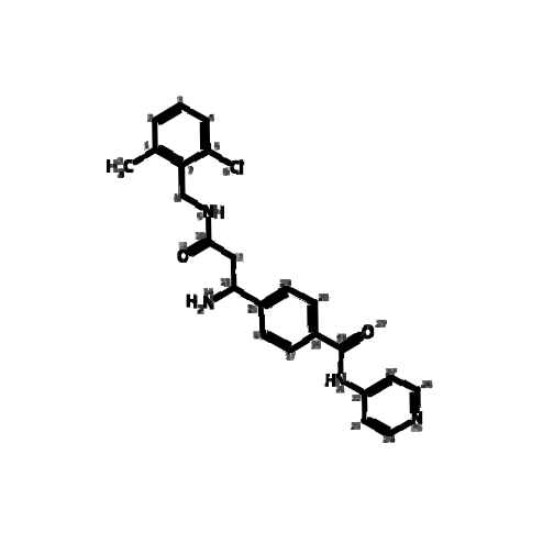 Cc1cccc(Cl)c1CNC(=O)CC(N)c1ccc(C(=O)Nc2ccncc2)cc1